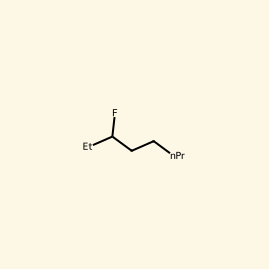 [CH2]CC(F)CCCCC